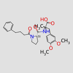 COc1ccc(C[C@](C)(NC(=O)[C@@H]2CCCN2C(=O)CCCc2ccccc2)C(=O)O)cc1OC